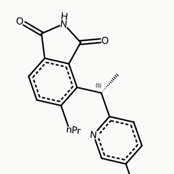 CCCc1ccc2c(c1[C@H](C)c1ccc(C)cn1)C(=O)NC2=O